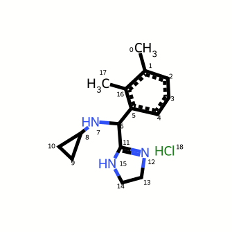 Cc1cccc(C(NC2CC2)C2=NCCN2)c1C.Cl